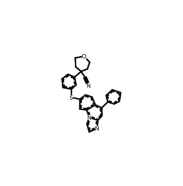 N#CC1(c2cccc(Sc3ccc4c(-c5ccccc5)cc5nccn5c4c3)c2)CCOCC1